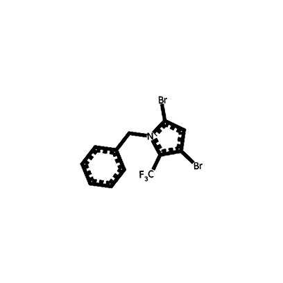 FC(F)(F)c1c(Br)cc(Br)n1Cc1ccccc1